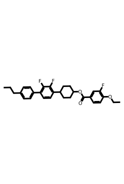 CCCc1ccc(-c2ccc(C3CCC(OC(=O)c4ccc(OCC)c(F)c4)CC3)c(F)c2F)cc1